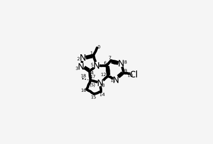 Cc1nnc2n1-c1cnc(Cl)nc1N1CCC[C@@]21C